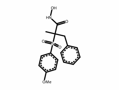 COc1ccc(S(=O)(=O)C(C)(Cc2ccccc2)C(=O)NO)cc1